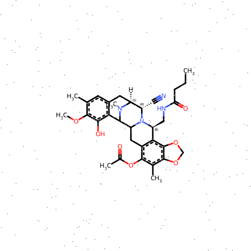 CCCC(=O)NC[C@H]1c2c(c(OC(C)=O)c(C)c3c2OCO3)CC2C3c4c(cc(C)c(OC)c4O)C[C@@H]([C@H](C#N)N21)N3C